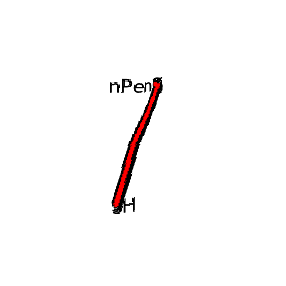 CCCCCOS(=S)(=S)SSSSSSSSSSSSSSSSSSSSSSSSSSSSSSSSSSSSSSSSSSSSSSSSSSSSSSSSSSSSSSSSSSSSSS